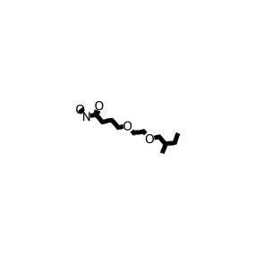 CCC(C)COCCOCCCC(=O)N=O